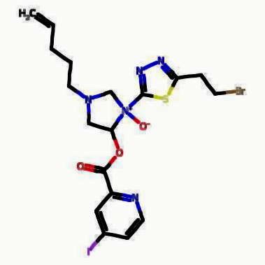 C=CCCCN1CC(OC(=O)c2cc(I)ccn2)[N+]([O-])(c2nnc(CCBr)s2)C1